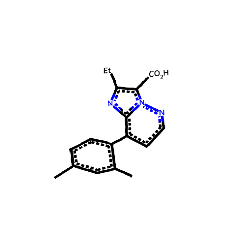 CCc1nc2c(-c3ccc(C)cc3C)ccnn2c1C(=O)O